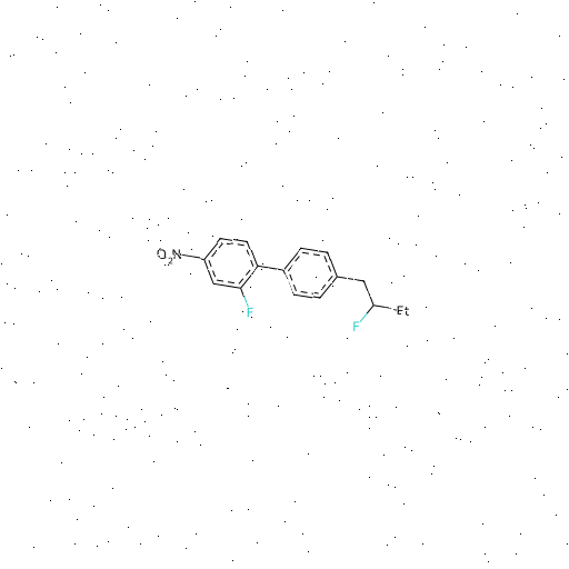 CCC(F)Cc1ccc(-c2ccc([N+](=O)[O-])cc2F)cc1